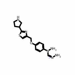 N/N=C\N(N)c1ccc(OCc2csc(C3CCNC3)n2)cc1